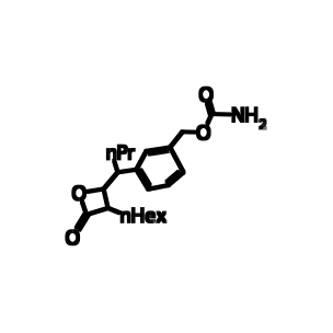 CCCCCCC1C(=O)OC1C(CCC)c1cccc(COC(N)=O)c1